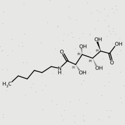 CCCCCCNC(=O)[C@@H](O)[C@H](O)[C@@H](O)[C@@H](O)C(=O)O